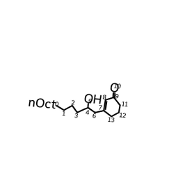 CCCCCCCCCCCC(O)CC1=CC(=O)CCC1